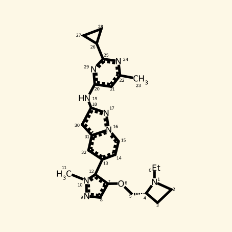 CCN1CC[C@@H]1COc1cnn(C)c1-c1ccn2nc(Nc3cc(C)nc(C4CC4)n3)cc2c1